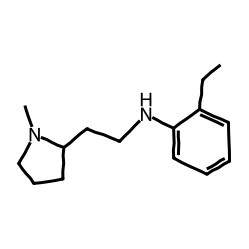 CCc1ccccc1NCCC1CCCN1C